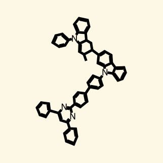 CC1C=C2C(CC1c1ccc3c4ccccc4n(-c4ccc(-c5ccc(-c6nc(-c7ccccc7)cc(-c7ccccc7)n6)cc5)cc4)c3c1)c1ccccc1N2c1ccccc1